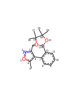 Cc1noc(C)c1-c1ccccc1B1OC(C)(C)C(C)(C)O1